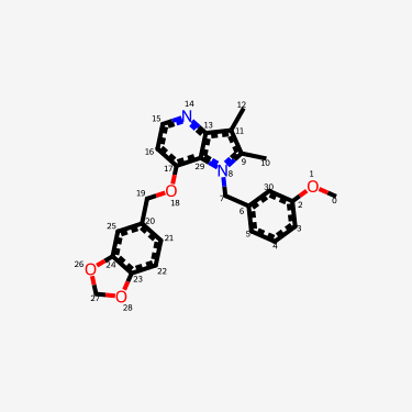 COc1cccc(Cn2c(C)c(C)c3nccc(OCc4ccc5c(c4)OCO5)c32)c1